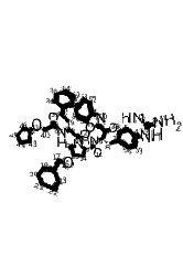 N=C(N)Nc1ccc(C[C@H](NC(=O)[C@@H]2C[C@@H](OCC3CCCCC3)CN2C(=O)[C@@H](CCc2ccccc2)NC(=O)COC2CCCC2)C(=O)c2nc3ccccc3o2)cc1